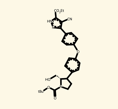 CCOC(=O)c1[nH]nc(-c2ccc(Oc3ccc(C4CCN(C(=O)OC(C)(C)C)[C@@H]4CO)cc3)cc2)c1C#N